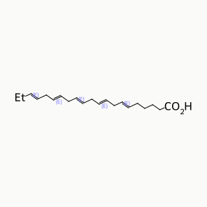 CC/C=C/C/C=C/C/C=C/C/C=C/C/C=C/CCCCC(=O)O